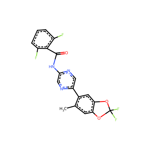 Cc1cc2c(cc1-c1cnc(NC(=O)c3c(F)cccc3F)cn1)OC(F)(F)O2